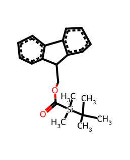 CC(C)(C)[Si](C)(C)C(=O)OCC1c2ccccc2-c2ccccc21